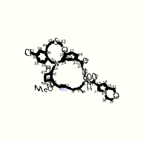 CO[C@H]1/C=C/C[C@H](C)C[S@@](=O)(NC(=O)c2cc3n(c2)CCOC3)=NC(=O)c2ccc3c(c2)N(Cc2ccc(Cl)cc2CCSCO3)C[C@@H]2CC[C@H]21